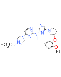 CCOc1ccccc1OC1CCCN(c2cncc(Nc3nccc(N4CCN(CC(=O)O)CC4)n3)n2)C1